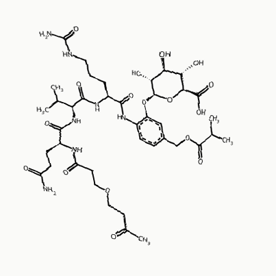 CC(=O)CCOCCC(=O)N[C@@H](CCC(N)=O)C(=O)N[C@H](C(=O)N[C@@H](CCCNC(N)=O)C(=O)Nc1ccc(COC(=O)C(C)C)cc1O[C@@H]1O[C@H](C(=O)O)[C@@H](O)[C@H](O)[C@H]1O)C(C)C